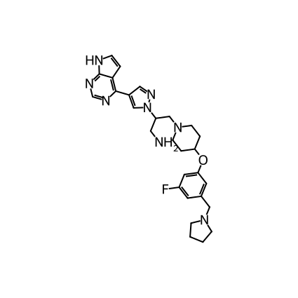 NCC(CN1CCC(Oc2cc(F)cc(CN3CCCC3)c2)CC1)n1cc(-c2ncnc3[nH]ccc23)cn1